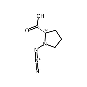 [N-]=[N+]=NN1CCC[C@H]1C(=O)O